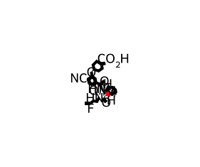 C=C(F)CCNC(=O)[C@@H]1C(NC(=O)c2cc(O[C@H]3CC[C@@](C)(C(=O)O)CC3)c(C#N)cc2OC)[C@@H]2CC[C@H]1C2